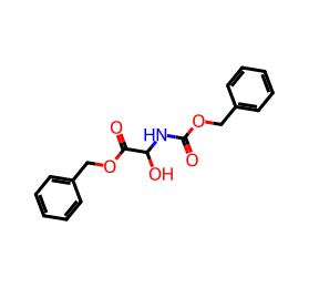 O=C(NC(O)C(=O)OCc1ccccc1)OCc1ccccc1